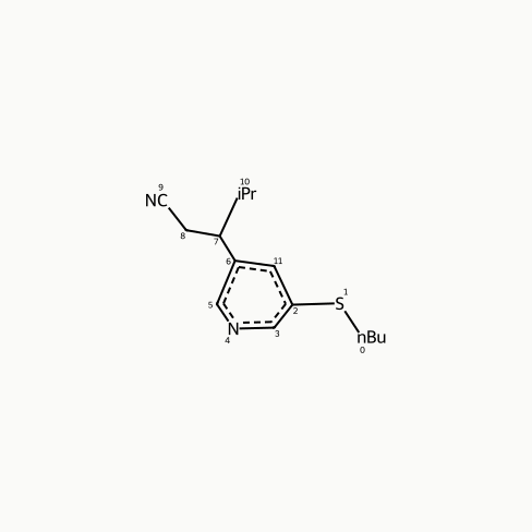 CCCCSc1cncc(C(CC#N)C(C)C)c1